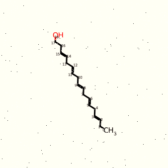 CCC=CCC=CCC=CCC=CCC=CCCO